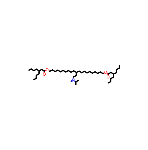 CCCCC(CCCC)CC(=O)OCCCCCCCCCCC(CCCCCCCCCCOC(=O)CC(CCCC)CCCC)CCN(C)C(C)C